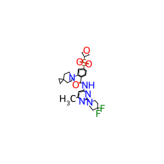 Cc1cc(NC(=O)c2ccc(S(=O)(=O)C3COC3)cc2N2CCC3(CC2)CC3)nc(N2CCC(F)(F)CC2)n1